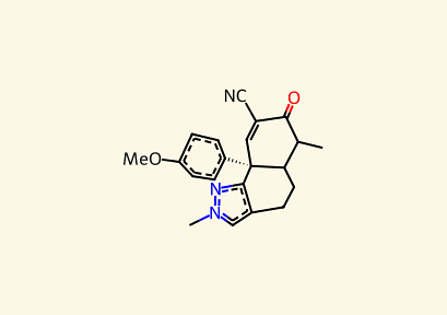 COc1ccc([C@]23C=C(C#N)C(=O)C(C)C2CCc2cn(C)nc23)cc1